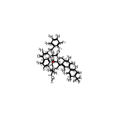 [2H]c1c([2H])c(F)c(F)c(CSc2c([2H])c(=O)c3c([2H])c(C)c([2H])c([2H])c3n2C([2H])([2H])C(=O)N(Cc2c([2H])c([2H])c(-c3c([2H])c([2H])c(C(F)(F)F)c([2H])c3[2H])c([2H])c2[2H])C2CCN(C([2H])([2H])COC)CC2)c1[2H]